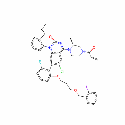 C=CC(=O)N1CCN(c2nc(=O)n(-c3ccccc3CCC)c3cc(-c4c(F)cccc4OCCCOCc4ccccc4I)c(Cl)cc23)[C@@H](C)C1